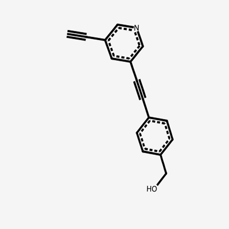 C#Cc1cncc(C#Cc2ccc(CO)cc2)c1